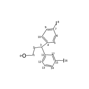 [O]CCC(c1ccc(I)cc1)c1cccc(I)c1